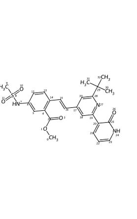 COC(=O)c1cc(NS(C)(=O)=O)ccc1C=Cc1cc(-c2ccc[nH]c2=O)nc(C(C)(C)C)c1